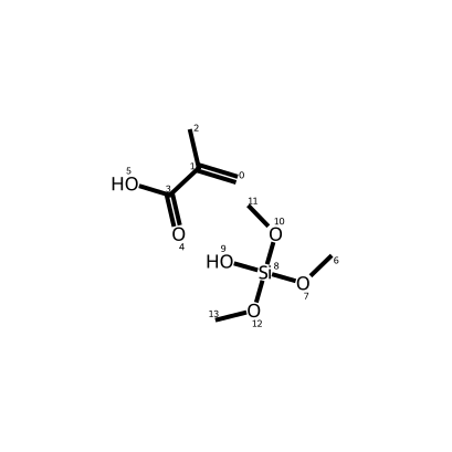 C=C(C)C(=O)O.CO[Si](O)(OC)OC